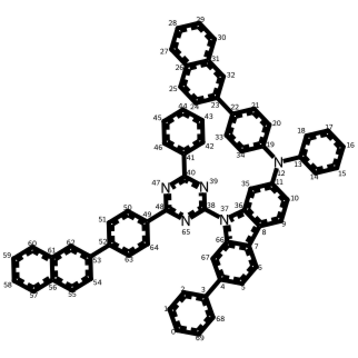 c1ccc(-c2ccc3c4ccc(N(c5ccccc5)c5ccc(-c6ccc7ccccc7c6)cc5)cc4n(-c4nc(-c5ccccc5)nc(-c5ccc(-c6ccc7ccccc7c6)cc5)n4)c3c2)cc1